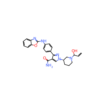 C=CC(O)N1CCC[C@@H](n2cc(C(N)=O)c(-c3ccc(Nc4nc5ccccc5o4)cc3)n2)C1